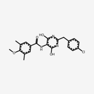 COc1c(C)cc(C(=O)Nc2c(O)nc(Cc3ccc(Cl)cc3)nc2O)cc1C